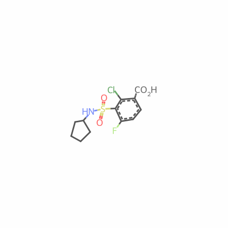 O=C(O)c1ccc(F)c(S(=O)(=O)NC2CCCC2)c1Cl